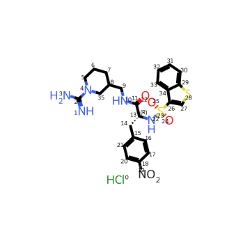 Cl.N=C(N)N1CCCC(CNC(=O)[C@@H](Cc2ccc([N+](=O)[O-])cc2)NS(=O)(=O)c2csc3ccccc23)C1